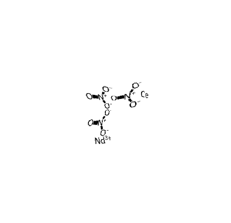 O=[N+]([O-])[O-].O=[N+]([O-])[O-].O=[N+]([O-])[O-].[Ce].[Nd+3]